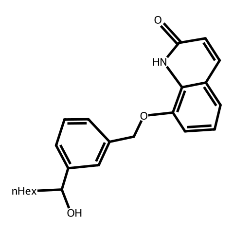 CCCCCCC(O)c1cccc(COc2cccc3ccc(=O)[nH]c23)c1